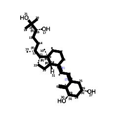 C=C1/C(=C\C=C2/CCC[C@]3(C)[C@@H]([C@H](C)CC[C@@H](O)C(C)(C)O)CC[C@@H]23)C[C@H](O)C[C@@H]1O